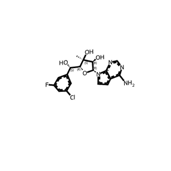 C[C@@]1(O)[C@@H]([C@@H](O)c2cc(F)cc(Cl)c2)O[C@@H](n2ccc3c(N)ncnc32)[C@@H]1O